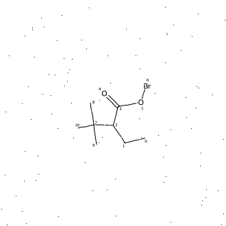 CCC(C(=O)OBr)C(C)(C)C